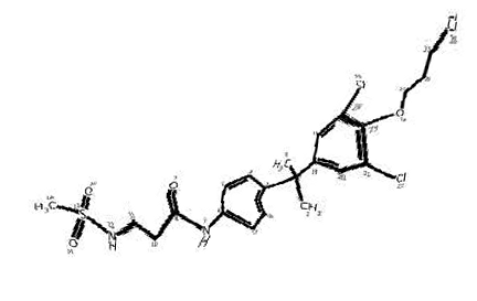 CC(C)(c1ccc(NC(=O)CCNS(C)(=O)=O)cc1)c1cc(Cl)c(OCCCCl)c(Cl)c1